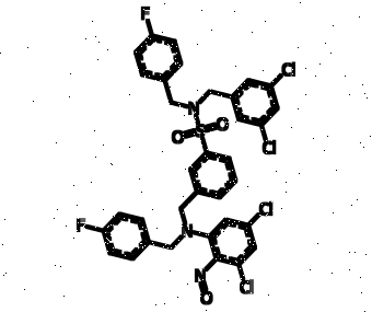 O=Nc1c(Cl)cc(Cl)cc1N(Cc1ccc(F)cc1)Cc1cccc(S(=O)(=O)N(Cc2ccc(F)cc2)Cc2cc(Cl)cc(Cl)c2)c1